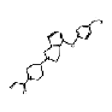 C=CC(=O)N1CCC(N2CCc3c(cccc3Oc3ccc(C(F)(F)F)cc3)C2)CC1